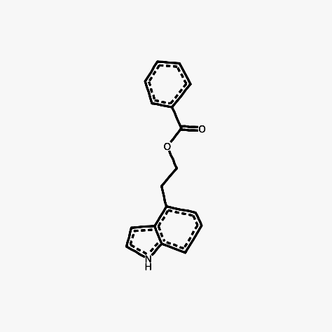 O=C(OCCc1cccc2[nH]ccc12)c1ccccc1